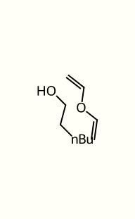 C=COC=C.CCCCCCO